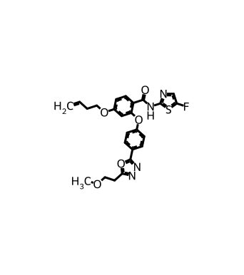 C=CCCOc1ccc(C(=O)Nc2ncc(F)s2)c(Oc2ccc(-c3nnc(CCOC)o3)cc2)c1